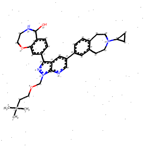 C[Si](C)(C)CCOCn1nc(-c2ccc3c(c2)OCCNC3O)c2cc(-c3ccc4c(c3)CCN(C3CC3)CC4)cnc21